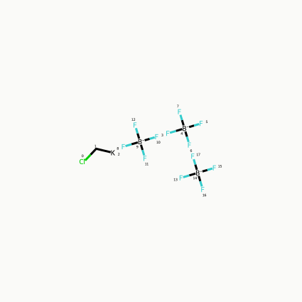 Cl[CH2][K].F[B-](F)(F)F.F[B-](F)(F)F.F[B-](F)(F)F